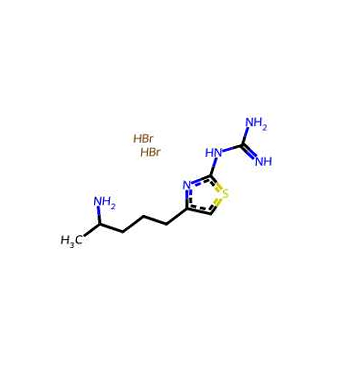 Br.Br.CC(N)CCCc1csc(NC(=N)N)n1